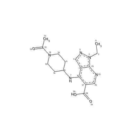 CCn1ncc2c(NC3CCN(C(C)=O)CC3)c(C(=O)O)cnc21